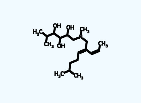 C/C=C\C(=C/CCC(C)C)CN(C)CC(O)C(O)C(O)C(C)C